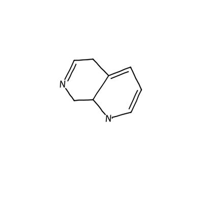 C1=C[N]C2CN=CCC2=C1